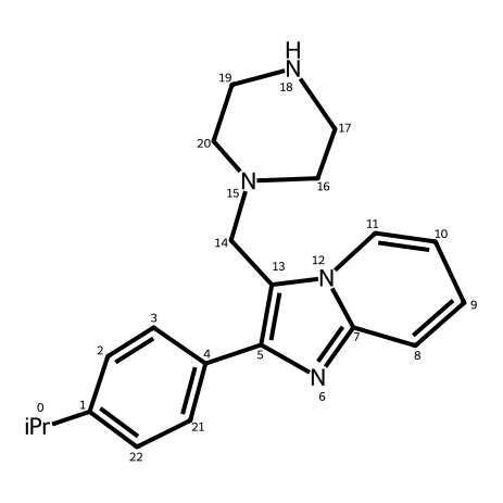 CC(C)c1ccc(-c2nc3ccccn3c2CN2CCNCC2)cc1